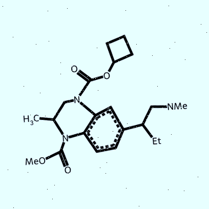 CCC(CNC)c1ccc2c(c1)N(C(=O)OC1CCC1)CC(C)N2C(=O)OC